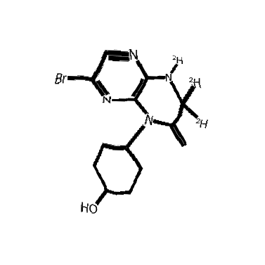 [2H]N1c2ncc(Br)nc2N(C2CCC(O)CC2)C(=C)C1([2H])[2H]